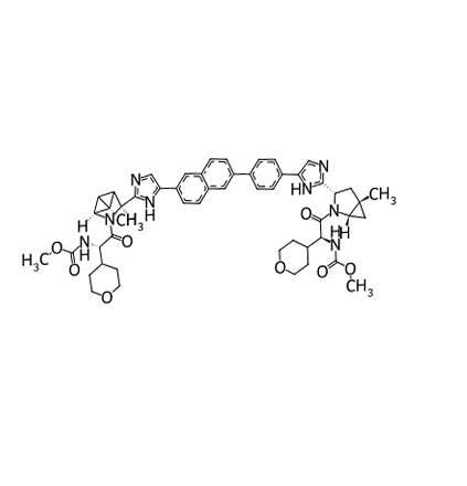 COC(=O)N[C@H](C(=O)N1[C@H](c2ncc(-c3ccc4cc(-c5ccc(-c6cnc([C@@H]7C[C@]8(C)C[C@@H]8N7C(=O)[C@@H](NC(=O)OC)C7CCOCC7)[nH]6)cc5)ccc4c3)[nH]2)C2C3[C@H]1[C@]23C)C1CCOCC1